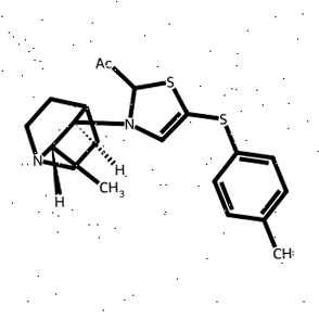 [CH]c1ccc(SC2=CN([C@@H]3C4CCN(CC4)[C@H]3C)C(C(C)=O)S2)cc1